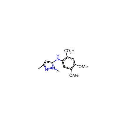 COc1cc(Nc2cc(C)nn2C)c(C(=O)O)cc1OC